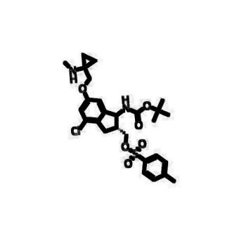 CNC1(COc2cc(Cl)c3c(c2)C(NC(=O)OC(C)(C)C)[C@H](COS(=O)(=O)c2ccc(C)cc2)C3)CC1